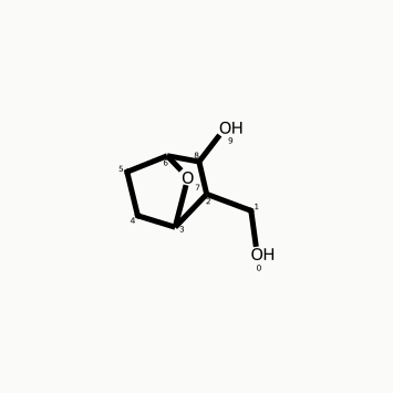 OCC1C2CCC(O2)C1O